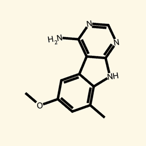 COc1cc(C)c2[nH]c3ncnc(N)c3c2c1